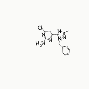 Cc1nc(-c2cc(Cl)nc(N)n2)n(Cc2ccccc2)n1